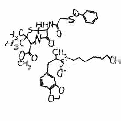 CCCCCCCC[S+]([O-])C(C)Cc1ccc2c(c1)OCO2.COC(=O)[C@@H]1N2C(=O)C(NC(=O)CSOc3ccccc3)[C@H]2SC1(C)C